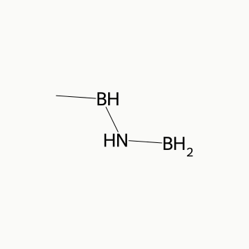 BNBC